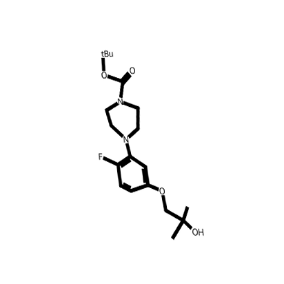 CC(C)(O)COc1ccc(F)c(N2CCN(C(=O)OC(C)(C)C)CC2)c1